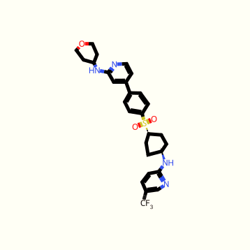 O=S(=O)(c1ccc(-c2ccnc(NC3CCOCC3)c2)cc1)[C@H]1CC[C@H](Nc2ccc(C(F)(F)F)cn2)CC1